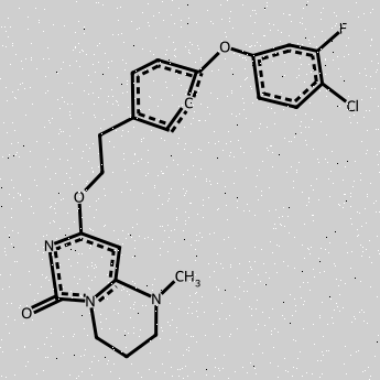 CN1CCCn2c1cc(OCCc1ccc(Oc3ccc(Cl)c(F)c3)cc1)nc2=O